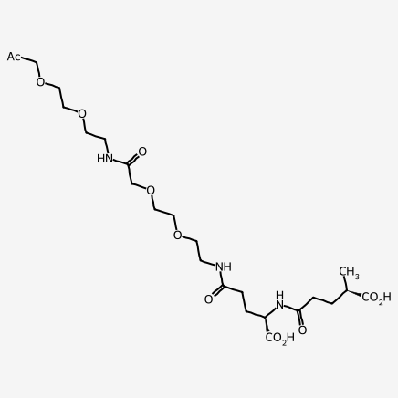 CC(=O)COCCOCCNC(=O)COCCOCCNC(=O)CC[C@@H](NC(=O)CC[C@@H](C)C(=O)O)C(=O)O